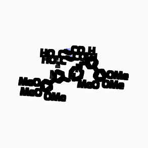 COc1cc(-c2cccc(CN3CCCN(Cc4ccnc(-c5cc(OC)c(OC)c(OC)c5)c4)CC3)c2)cc(OC)c1OC.O=C(O)/C=C/C(=O)O.O=C(O)/C=C/C(=O)O